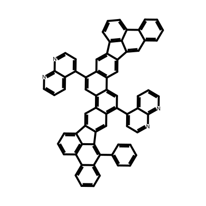 c1ccc(-c2c3c4c(cccc4c4ccccc24)-c2cc4c(cc2-3)c(-c2ccnc3ncccc23)cc2c3cc5c(cc3c(-c3ccnc6ncccc36)cc42)-c2cccc3c2c-5cc2ccccc23)cc1